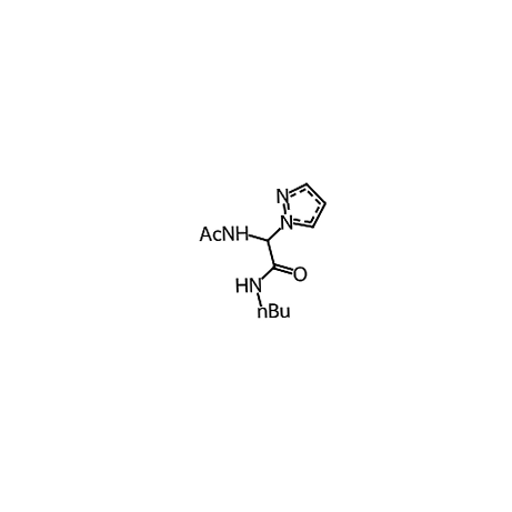 CCCCNC(=O)C(NC(C)=O)n1cccn1